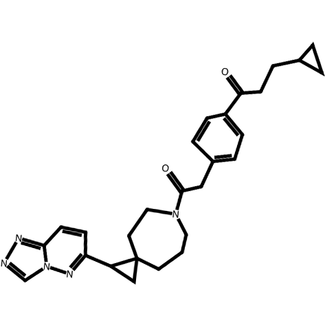 O=C(CCC1CC1)c1ccc(CC(=O)N2CCCC3(CC2)CC3c2ccc3nncn3n2)cc1